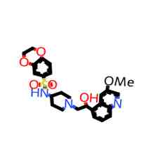 COc1cnc2cccc(C(O)CN3CCC(NS(=O)(=O)c4ccc5c(c4)OCCO5)CC3)c2c1